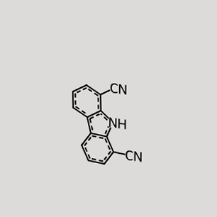 N#Cc1cccc2c1[nH]c1c(C#N)cccc12